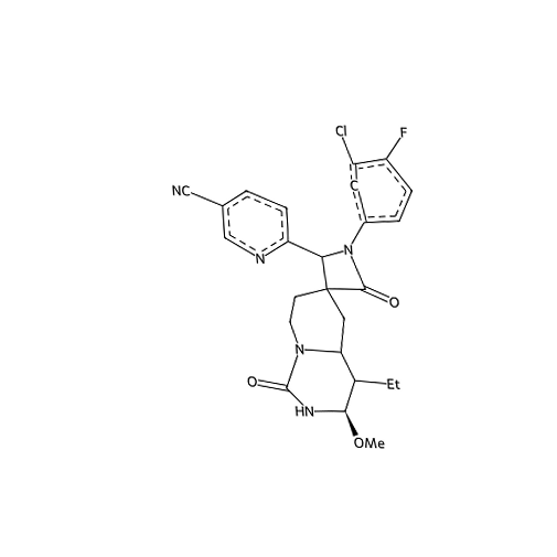 CCC1C2CC3(CCN2C(=O)N[C@@H]1OC)C(=O)N(c1ccc(F)c(Cl)c1)C3c1ccc(C#N)cn1